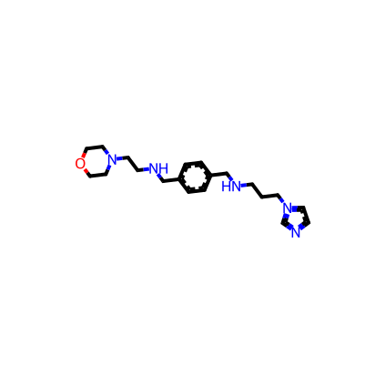 c1cn(CCCNCc2ccc(CNCCN3CCOCC3)cc2)cn1